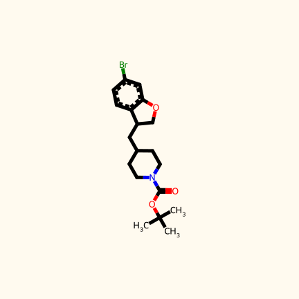 CC(C)(C)OC(=O)N1CCC(CC2COc3cc(Br)ccc32)CC1